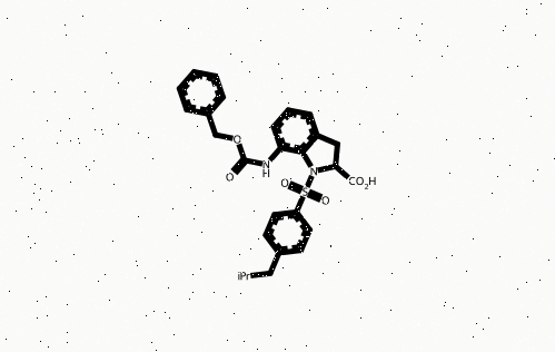 CC(C)Cc1ccc(S(=O)(=O)N2c3c(cccc3NC(=O)OCc3ccccc3)CC2C(=O)O)cc1